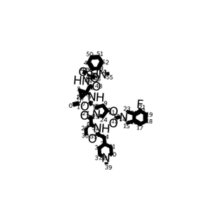 C=C[C@@H]1C[C@]1(NC(=O)[C@@H]1C[C@@H](OC(=O)N2Cc3cccc(F)c3C2)CN1C(=O)[C@H](CC)NC(=O)CC1CCN(C)CC1)C(=O)NS(=O)(=O)c1ccccc1NC